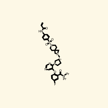 C=CC(=O)Nc1ccc(S(=O)(=O)N2CCC3(CC2)CN(C[C@@H]2CCN(c4ncncc4Oc4ccc(F)cc4C(=O)N(C(C)C)C(C)C)C2)C3)cc1